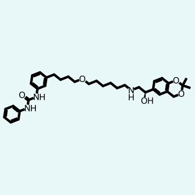 CC1(C)OCc2cc([C@@H](O)CNCCCCCCOCCCCc3cccc(NC(=O)Nc4ccccc4)c3)ccc2O1